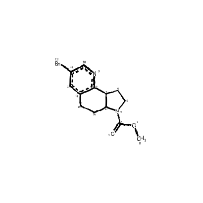 COC(=O)N1CCC2c3ncc(Br)cc3CCC21